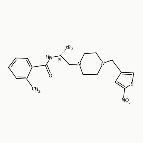 Cc1ccccc1C(=O)N[C@@H](CN1CCN(Cc2csc([N+](=O)[O-])c2)CC1)C(C)(C)C